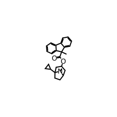 CN1C2CCC1(C1CC1)CC(OC(=O)C1(C)c3ccccc3-c3ccccc31)C2